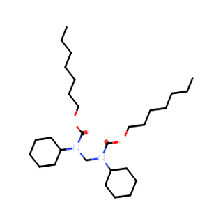 CCCCCCCOC(=O)N(CN(C(=O)OCCCCCCC)C1CCCCC1)C1CCCCC1